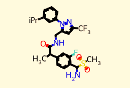 CC(C)c1cccc(-n2nc(C(F)(F)F)cc2CNC(=O)C(C)c2ccc(C(N)S(C)(=O)=O)c(F)c2)c1